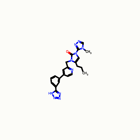 CCCc1cn(-c2nncn2C)c(=O)n1Cc1cc(-c2cccc(-c3nnn[nH]3)c2)ccn1